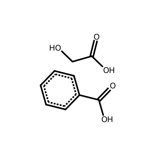 O=C(O)CO.O=C(O)c1ccccc1